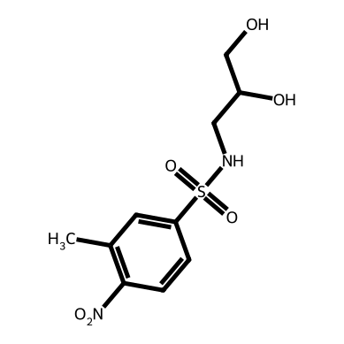 Cc1cc(S(=O)(=O)NCC(O)CO)ccc1[N+](=O)[O-]